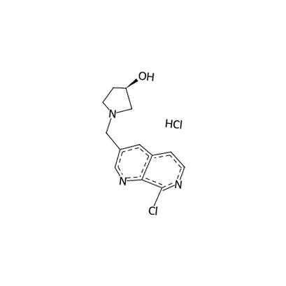 Cl.O[C@@H]1CCN(Cc2cnc3c(Cl)nccc3c2)C1